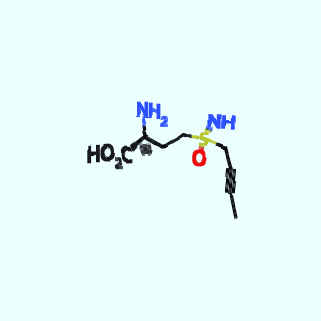 CC#CCS(=N)(=O)CC[C@H](N)C(=O)O